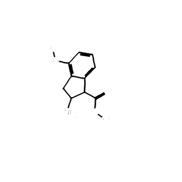 COC(=O)C1c2cccc(OC)c2CC1N